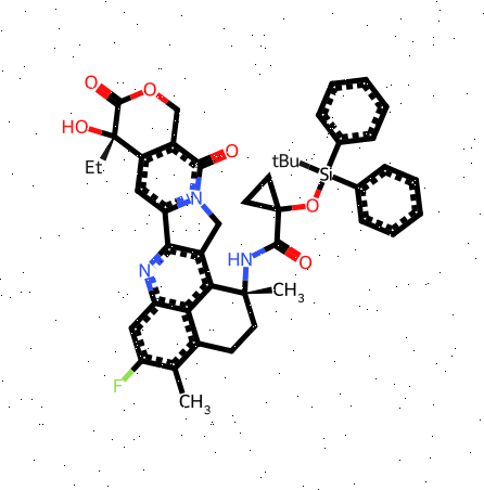 CC[C@@]1(O)C(=O)OCc2c1cc1n(c2=O)Cc2c-1nc1cc(F)c(C)c3c1c2[C@](C)(NC(=O)C1(O[Si](c2ccccc2)(c2ccccc2)C(C)(C)C)CC1)CC3